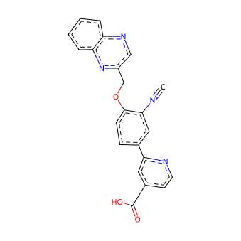 [C-]#[N+]c1cc(-c2cc(C(=O)O)ccn2)ccc1OCc1cnc2ccccc2n1